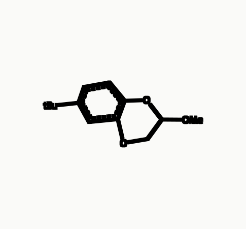 COC1COc2cc(C(C)(C)C)ccc2O1